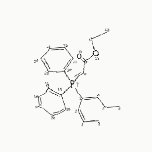 C/C=C\C(=C/CC)P(=CC(=O)OCC)(c1ccccc1)c1ccccc1